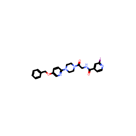 O=C(NCC(=O)N1CCN(c2ccc(OCc3ccccc3)cn2)CC1)c1ccnc(I)c1